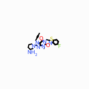 CC#CCn1c(N2CCC[C@@H](N)C2)nc2c1c(=O)n(Cc1nc3cc(F)ccc3s1)c(=O)n2C